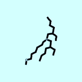 CCCCC(CC)CN(CCCCCCOC)CC(CC)CCCC